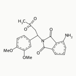 COc1ccc(C(CS(C)(=O)=O)N2C(=O)c3cccc(N)c3C2=O)cc1OC